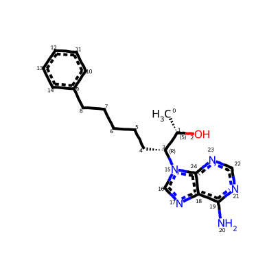 C[C@H](O)[C@@H](CCCCCc1ccccc1)n1cnc2c(N)ncnc21